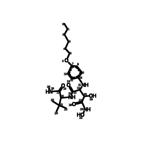 CCCCCCOc1ccc(NC(C(=O)NC(C(=O)NC)C(C)(C)C)C(O)C(=O)NO)cc1